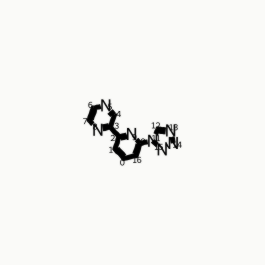 c1cc(-c2cnccn2)nc(-n2cnnn2)c1